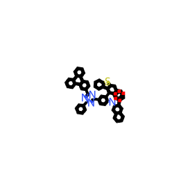 c1ccc(-c2nc(-c3ccc(-n4c5ccccc5c5cc6ccccc6cc54)c(-c4c5ccccc5cc5sc6ccccc6c45)c3)nc(-c3ccc4c5ccccc5c5ccccc5c4c3)n2)cc1